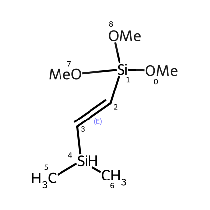 CO[Si](/C=C/[SiH](C)C)(OC)OC